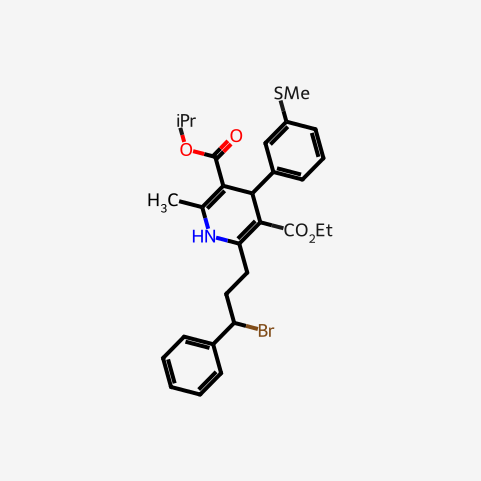 CCOC(=O)C1=C(CCC(Br)c2ccccc2)NC(C)=C(C(=O)OC(C)C)C1c1cccc(SC)c1